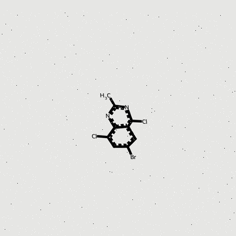 Cc1nc(Cl)c2cc(Br)cc(Cl)c2n1